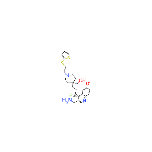 COc1ccc2ncc(CN)c([C@H](F)CCC3(CO)CCN(CCSc4cccs4)CC3)c2c1